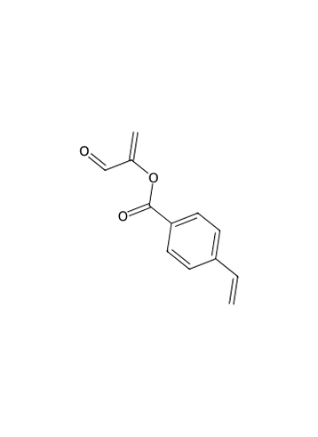 C=Cc1ccc(C(=O)OC(=C)C=O)cc1